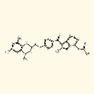 Cc1cc(C)c2c(c1)N(C)CC(COc1ccc(C(=O)n3c(C)cc4c(CC(=O)O)cccc43)cc1)O2